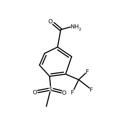 CS(=O)(=O)c1ccc(C(N)=O)cc1C(F)(F)F